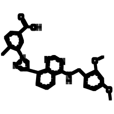 COc1ccc(CNc2ncnc3c(-c4cnn(-c5cc(C(=O)O)ccc5C)c4)cccc23)c(OC)c1